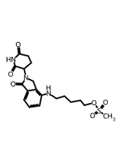 CS(=O)(=O)OCCCCCNc1cccc2c1CN(C1CCC(=O)NC1=O)C2=O